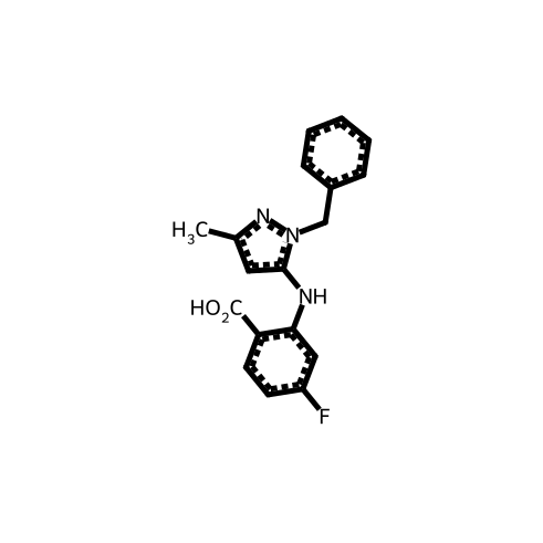 Cc1cc(Nc2cc(F)ccc2C(=O)O)n(Cc2ccccc2)n1